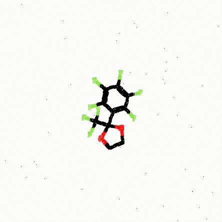 Fc1c(F)c(F)c(C2(C(F)(F)F)OCCO2)c(F)c1F